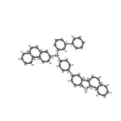 c1ccc(-c2cccc(N(c3ccc(-c4ccc5oc6c7ccccc7ccc6c5c4)cc3)c3ccc4c(ccc5ccccc54)c3)c2)cc1